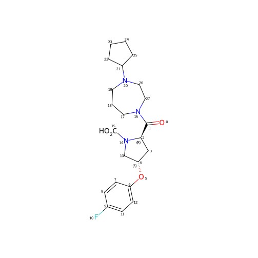 O=C([C@H]1C[C@H](Oc2ccc(F)cc2)CN1C(=O)O)N1CCCN(C2CCCC2)CC1